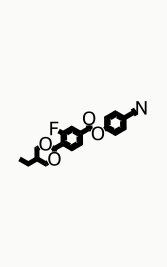 CCC1COC(c2ccc(C(=O)Oc3ccc(C#N)cc3)cc2F)OC1